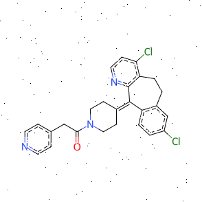 O=C(Cc1ccncc1)N1CCC(=C2c3ccc(Cl)cc3CCc3c(Cl)ccnc32)CC1